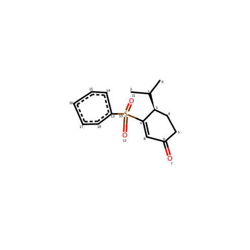 CC(C)[C@H]1CCC(=O)C=C1S(=O)(=O)c1ccccc1